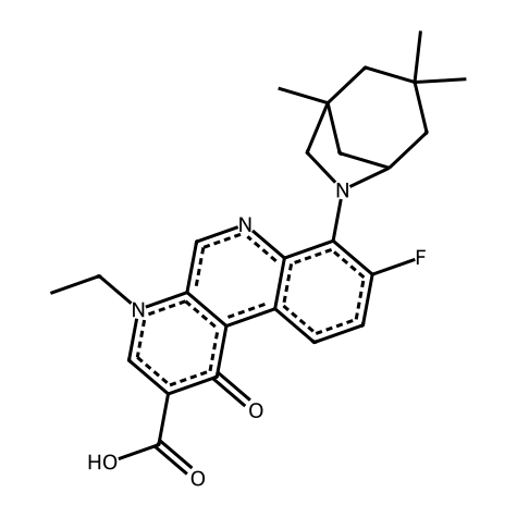 CCn1cc(C(=O)O)c(=O)c2c3ccc(F)c(N4CC5(C)CC4CC(C)(C)C5)c3ncc21